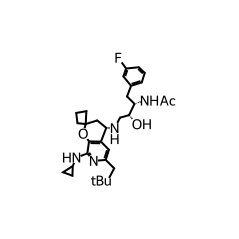 CC(=O)N[C@@H](Cc1cccc(F)c1)[C@H](O)CN[C@H]1CC2(CCC2)Oc2c1cc(CC(C)(C)C)nc2NC1CC1